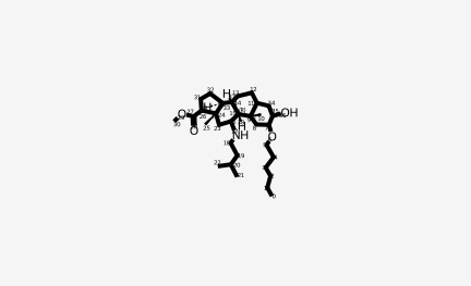 CCCCCCOC1C[C@@]2(C)C(CC[C@@H]3[C@H]2C(NCCC(C)C)C[C@]2(C)C(C(=O)OC)CC[C@@H]32)CC1O